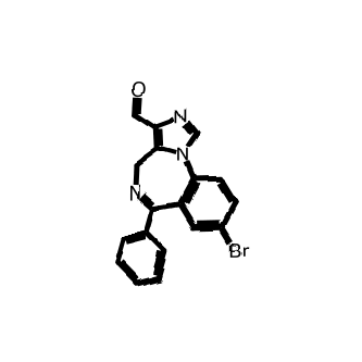 O=Cc1ncn2c1CN=C(c1ccccc1)c1cc(Br)ccc1-2